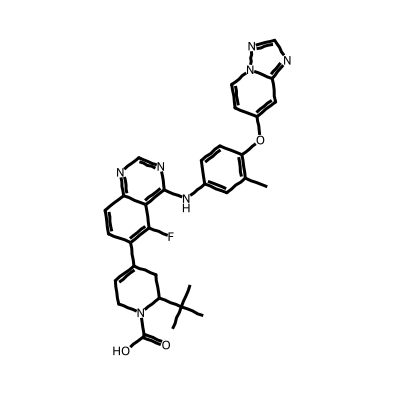 Cc1cc(Nc2ncnc3ccc(C4=CCN(C(=O)O)C(C(C)(C)C)C4)c(F)c23)ccc1Oc1ccn2ncnc2c1